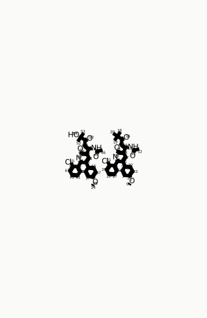 COc1ccc(-c2cc3c(NC(C)=O)c(C(=O)C(C)(C)C)oc3nc2-c2ccccc2Cl)cc1.COc1ccc(-c2cc3c(NC(C)=O)c(C(=O)C(C)(C)O)oc3nc2-c2ccccc2Cl)cc1